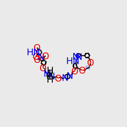 O=C1CCC(N2C(=O)c3ccc(OCCN4C[C@@H]5C[C@H]4CN5CCOCCN4CCN(CCOc5ccc6cc5COC/C=C/COCc5cccc(c5)-c5ccnc(n5)N6)CC4)cc3C2=O)C(=O)N1